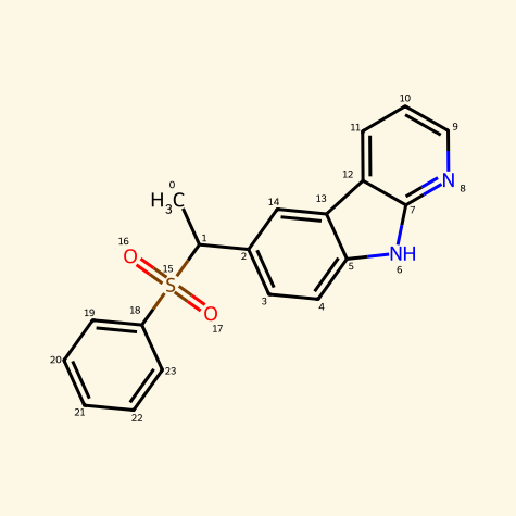 CC(c1ccc2[nH]c3ncccc3c2c1)S(=O)(=O)c1ccccc1